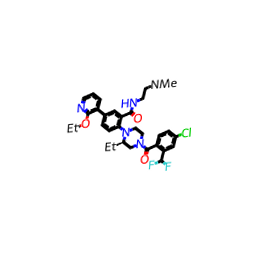 CCOc1ncccc1-c1ccc(N2CCN(C(=O)c3ccc(Cl)cc3C(F)F)C[C@H]2CC)c(C(=O)NCCNC)c1